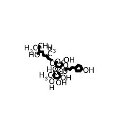 C=C(C)C(O)CC/C(C)=C/CO[C@@H]1O[C@H](CO)[C@@H](OC(=O)/C=C/c2ccc(O)cc2)[C@H](O[C@@H]2O[C@@H](C)[C@H](O)[C@@H](O)[C@H]2O)[C@H]1O